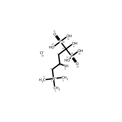 C[N+](C)(C)CC(S)CC(O)(P(=O)(O)O)P(=O)(O)O.[Cl-]